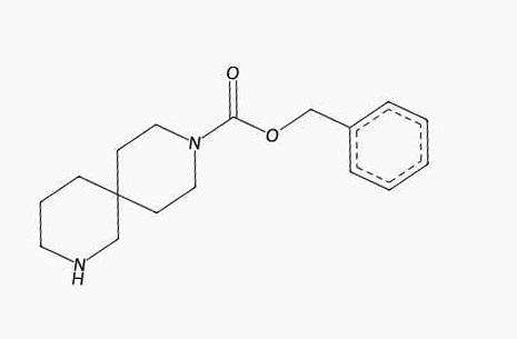 O=C(OCc1ccccc1)N1CCC2(CCCNC2)CC1